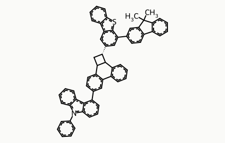 CC1(C)c2ccccc2-c2ccc(-c3cc([C@H]4CC5c6ccc(-c7cccc8c7c7ccccc7n8-c7ccccc7)cc6-c6ccccc6C54)cc4c3sc3ccccc34)cc21